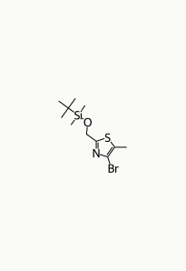 Cc1sc(CO[Si](C)(C)C(C)(C)C)nc1Br